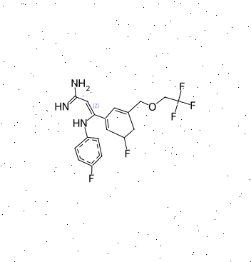 N=C(N)/C=C(\Nc1ccc(F)cc1)C1=CC(F)CC(COCC(F)(F)F)=C1